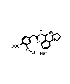 CCCC(NC(=O)Cc1ccc(C(=O)[O-])c(OCC)c1)c1ccccc1N1CCCC1.[Na+]